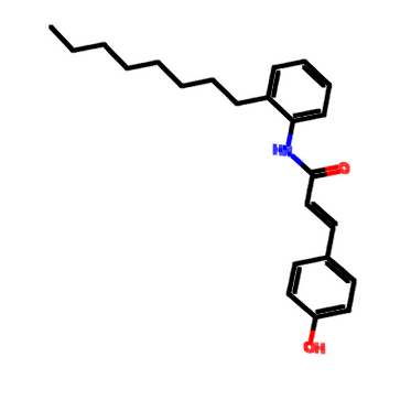 CCCCCCCCc1ccccc1NC(=O)C=Cc1ccc(O)cc1